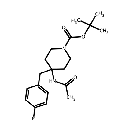 CC(=O)NC1(Cc2ccc(F)cc2)CCN(C(=O)OC(C)(C)C)CC1